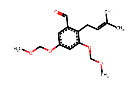 COCOc1cc(C=O)c(CC=C(C)C)c(OCOC)c1